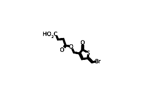 O=C(O)CCC(=O)OCC1=C/C(=C/Br)SC1=O